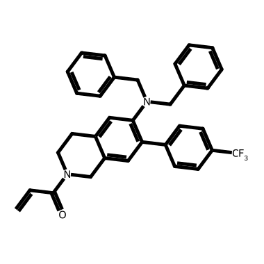 C=CC(=O)N1CCc2cc(N(Cc3ccccc3)Cc3ccccc3)c(-c3ccc(C(F)(F)F)cc3)cc2C1